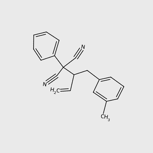 C=CC(Cc1cccc(C)c1)C(C#N)(C#N)c1ccccc1